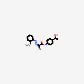 C=C(O)c1ccc(NC(=O)/C(=N\Nc2ccccc2C(=O)O)C(C)=O)cc1